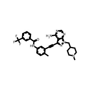 Cc1ccc(NC(=O)c2cccc(C(F)(F)F)c2)cc1C#Cc1nn(CC2CCN(C)CC2)c2ncnc(N)c12